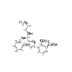 COc1cccc(-c2cn3c(n2)c(NCCN)nc2ccccc23)c1OC